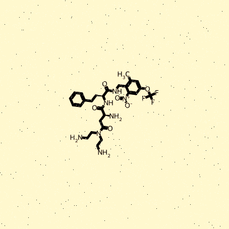 Cc1cc(OC(F)(F)F)cc([N+](=O)[O-])c1CNC(=O)[C@H](CCc1ccccc1)NC(=O)[C@@H](N)CC(=O)N(CCN)CCN